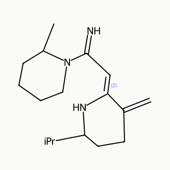 C=C1CCC(C(C)C)N/C1=C\C(=N)N1CCCCC1C